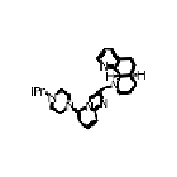 CC(C)N1CCN(c2cccc3nc(CN4CCC[C@H]5CCc6cccnc6[C@H]54)cn23)CC1